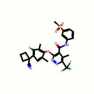 Cc1cc(C2(C#N)CCC2)c(F)c(C)c1Oc1nnc(C(F)(F)F)c(C)c1C(=O)Nc1cccc(S(C)(=O)=O)c1